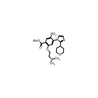 COC(=O)c1cc([N+](=O)[O-])c(-n2ccnc2C2CCOCC2)cc1OCCN(C)C